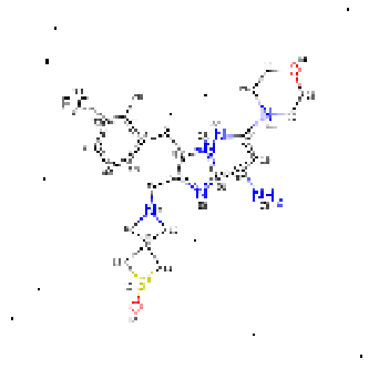 Cc1c(Cc2c(CN3CC4(C3)C[S+]([O-])C4)nc3c(N)cc(N4CCOCC4)nn23)cccc1C(F)(F)F